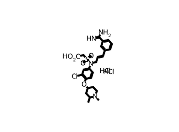 CC1CC(Oc2ccc(N(C/C=C/c3cccc(C(=N)N)c3)S(=O)(=O)CC(=O)O)cc2Cl)CCN1C.Cl.Cl